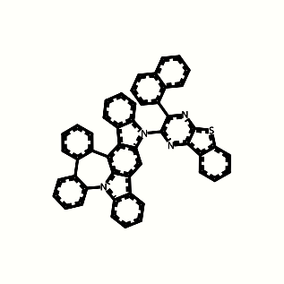 c1ccc2c(c1)-c1ccccc1-n1c3ccccc3c3cc4c(c-2c31)c1ccccc1n4-c1nc2c(nc1-c1cccc3ccccc13)sc1ccccc12